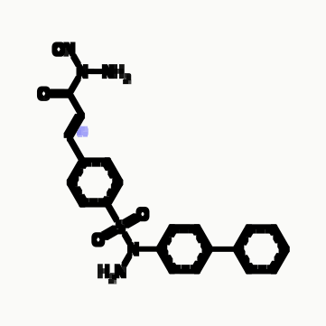 NN(N=O)C(=O)/C=C/c1ccc(S(=O)(=O)N(N)c2ccc(-c3ccccc3)cc2)cc1